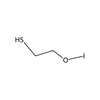 SCCOI